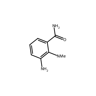 CNc1c(N)cccc1C(N)=O